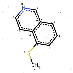 CSc1cccc2cn[c]cc12